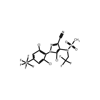 CS(=O)(=O)N(CC(F)(F)F)c1c(C#N)nn(-c2c(Cl)cc(S(F)(F)(F)(F)F)cc2Cl)c1Cl